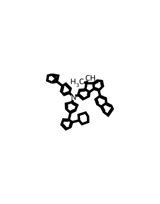 CC1(C)c2cc(N(c3ccc(-c4ccccc4C4CCCCC4)cc3)c3ccc(C4CC5CCC4C5)cc3)ccc2-c2c(-c3ccc4ccccc4c3)cccc21